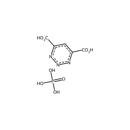 O=C(O)c1cc(C(=O)O)nnn1.O=P(O)(O)O